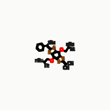 CCCCC(CC)COc1c2c(c(OCC(CC)CCCC)c3c1SC(=C(c1ccccc1)C(C)(C)C)S3)SC(=C(C#N)C#N)S2